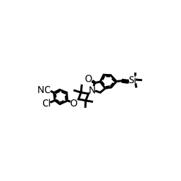 CC1(C)[C@H](Oc2ccc(C#N)c(Cl)c2)C(C)(C)[C@H]1N1Cc2cc(C#C[Si](C)(C)C)ccc2C1=O